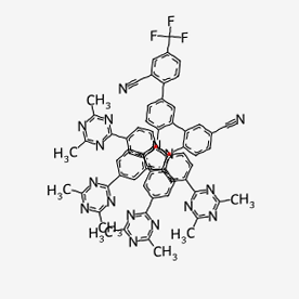 Cc1nc(C)nc(-c2ccc3c(c2)c2cc(-c4nc(C)nc(C)n4)ccc2n3-c2ccc(C#N)cc2-c2cc(-c3ccc(C(F)(F)F)cc3C#N)ccc2-n2c3ccc(-c4nc(C)nc(C)n4)cc3c3cc(-c4nc(C)nc(C)n4)ccc32)n1